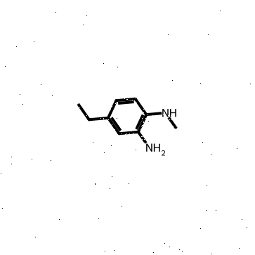 CCc1ccc(NC)c(N)c1